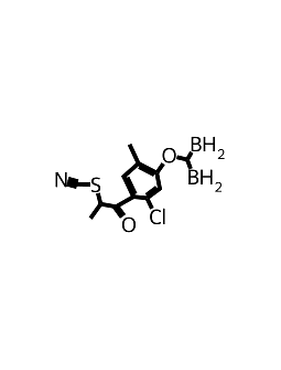 BC(B)Oc1cc(Cl)c(C(=O)C(C)SC#N)cc1C